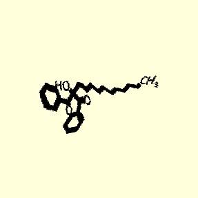 CCCCCCCCCCCC(O)(C(=O)c1ccccc1)C(=O)c1ccccc1